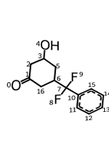 O=C1CC(O)CC(C(F)(F)c2ccccc2)C1